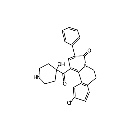 O=C(c1cc(-c2ccccc2)c(=O)n2c1-c1cc(Cl)ccc1CC2)C1(O)CCNCC1